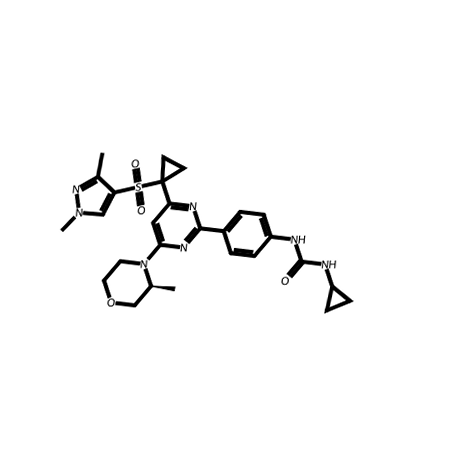 Cc1nn(C)cc1S(=O)(=O)C1(c2cc(N3CCOC[C@@H]3C)nc(-c3ccc(NC(=O)NC4CC4)cc3)n2)CC1